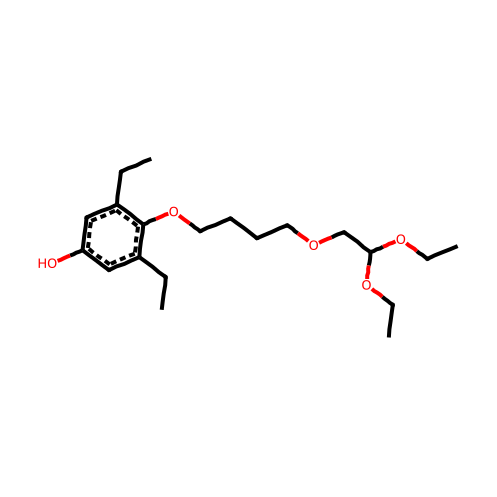 CCOC(COCCCCOc1c(CC)cc(O)cc1CC)OCC